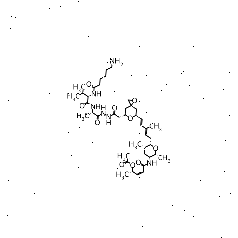 CC(=O)O[C@@H](C)/C=C\C(=O)N[C@@H]1C[C@H](C)[C@H](C/C=C(C)/C=C/[C@@H]2C[C@]3(CO3)C[C@@H](CC(=O)NNC(=O)[C@H](C)NC(=O)[C@@H](NC(=O)CCCCCN)C(C)C)O2)O[C@@H]1C